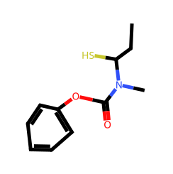 CCC(S)N(C)C(=O)Oc1ccccc1